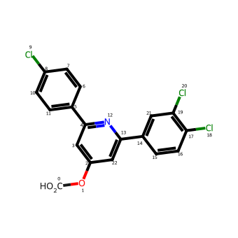 O=C(O)Oc1cc(-c2ccc(Cl)cc2)nc(-c2ccc(Cl)c(Cl)c2)c1